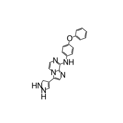 C1=C(c2cnc3c(Nc4ccc(Oc5ccccc5)cc4)nccn23)CNN1